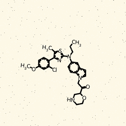 CCCN(c1ccc2c(ccn2CC(=O)C2CNCCO2)c1)c1nc(-c2ccc(OC)cc2Cl)c(C)s1